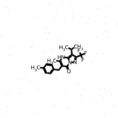 Cc1ccc(Cc2c(C)[nH]c3c(C(C)C)c(C(F)(F)F)nn3c2=O)cc1